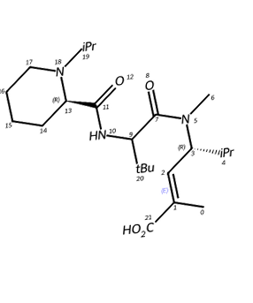 C/C(=C\[C@@H](C(C)C)N(C)C(=O)C(NC(=O)[C@H]1CCCCN1C(C)C)C(C)(C)C)C(=O)O